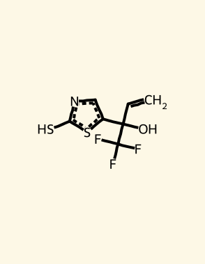 C=CC(O)(c1cnc(S)s1)C(F)(F)F